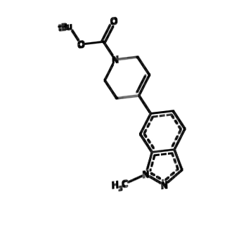 Cn1ncc2ccc(C3=CCN(C(=O)OC(C)(C)C)CC3)cc21